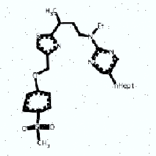 CCCCCCCc1cnc(N(CC)CCC(C)c2nc(COc3ccc(S(C)(=O)=O)cc3)cs2)nc1